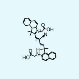 CC(C)(/C=C/C(C#N)=C/C1=[N+](CC(=O)O)C2C=CC3=CC=CCC3C2C1(C)C)c1c(NCC(=O)O)ccc2ccccc12